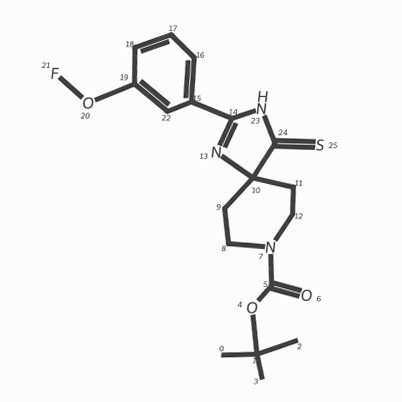 CC(C)(C)OC(=O)N1CCC2(CC1)N=C(c1cccc(OF)c1)NC2=S